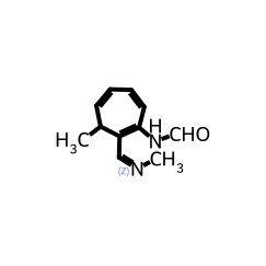 C/N=C\C1=C(NC=O)C=CC=CC1C